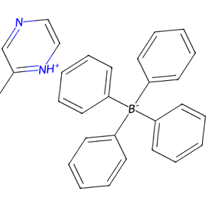 Cc1cncc[nH+]1.c1ccc([B-](c2ccccc2)(c2ccccc2)c2ccccc2)cc1